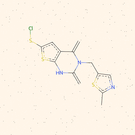 C=C1Nc2sc(SCl)cc2C(=C)N1Cc1cnc(C)s1